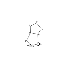 C1CC2CNOC2C1